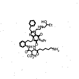 CCCn1c(=O)c2c(nc(Cc3ccccc3)n2CCNCC(O)CC)n(CCc2ccccc2NC(=O)C(CC(=O)O)NC(=O)CCCCCN)c1=O